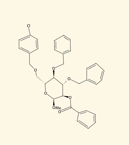 CO[C@H]1O[C@H](COCc2ccc(Cl)cc2)[C@@H](OCc2ccccc2)[C@H](OCc2ccccc2)[C@H]1OC(=O)c1ccccc1